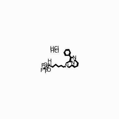 Cl.Cl.O=S(=O)(NCCCCCN1Cc2cccc3nc(-c4ccccc4)c(n23)C1)C(F)(F)F